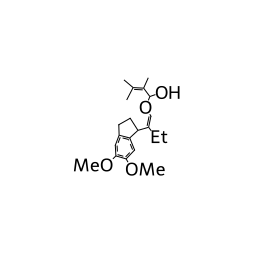 CC/C(=C/OC(O)C(C)=C(C)C)C1CCc2cc(OC)c(OC)cc21